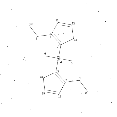 CCC1=C([Si](C)(C)C2=C(CC)C=CC2)CC=C1